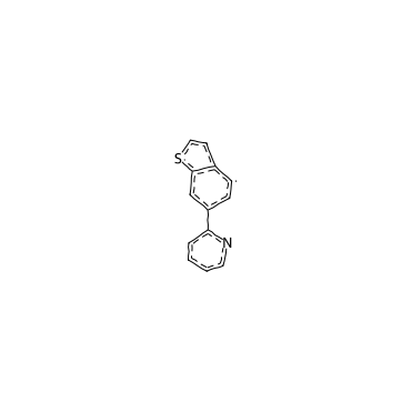 [c]1cc(-c2ccccn2)cc2sccc12